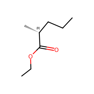 CCC[C@@H](C)C(=O)OCC